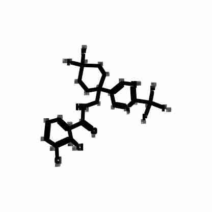 O=C(NCC1(c2cnc(C(F)(F)F)nc2)CCC(F)(F)CC1)c1cccc(Cl)c1Cl